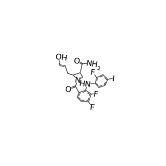 NC(=O)C1CN(C(=O)c2ccc(F)c(F)c2Nc2ccc(I)cc2F)C1C/C=C/O